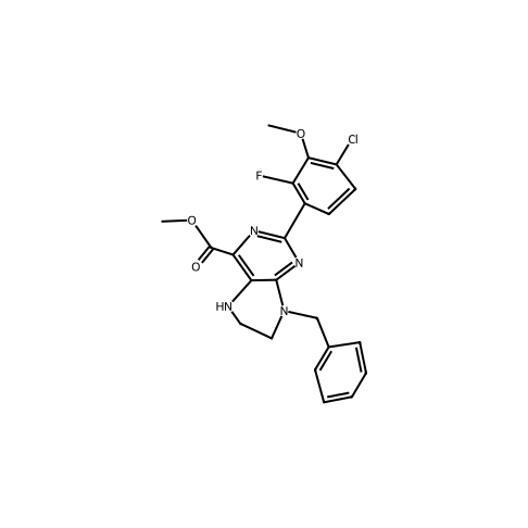 COC(=O)c1nc(-c2ccc(Cl)c(OC)c2F)nc2c1NCCN2Cc1ccccc1